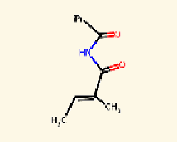 CC=C(C)C(=O)NC(=O)C(C)C